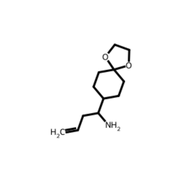 C=CCC(N)C1CCC2(CC1)OCCO2